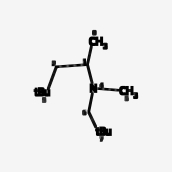 CC(CC(C)(C)C)N(C)CC(C)(C)C